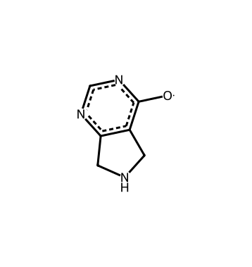 [O]c1ncnc2c1CNC2